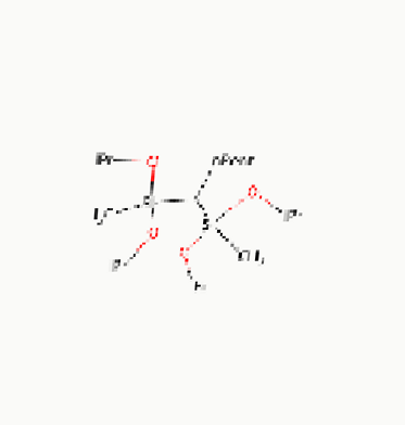 CCCCCC([Si](C)(OC(C)C)OC(C)C)[Si](C)(OC(C)C)OC(C)C